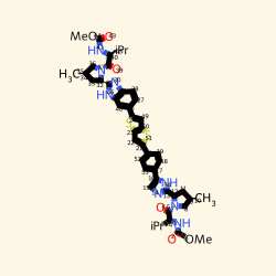 COC(=O)NC(C(=O)N1C[C@@H](C)CC1c1ncc(-c2ccc(-c3cc4sc(-c5ccc6nc([C@@H]7C[C@H](C)CN7C(=O)[C@@H](NC(=O)OC)C(C)C)[nH]c6c5)cc4s3)cc2)[nH]1)C(C)C